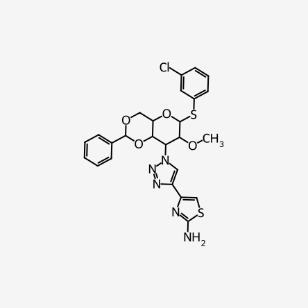 COC1C(Sc2cccc(Cl)c2)OC2COC(c3ccccc3)OC2C1n1cc(-c2csc(N)n2)nn1